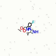 CC(C)OC(=O)Cc1nn([C@H]2CNC[C@H]2C2CC2)c2cc(F)ccc12